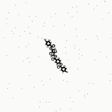 Cc1ccc(C(=O)Oc2ccc(C(=O)O[C@H]3COC4C3OC[C@@H]4OC(=O)c3ccc(C)cc3)cc2)cc1